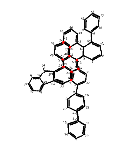 C1=CC(N(c2ccc(-c3ccc(-c4ccccc4)cc3)cc2)c2ccccc2-c2cccc3c2sc2ccccc23)C(c2ccccc2-c2ccccc2)C(c2ccccc2)=C1